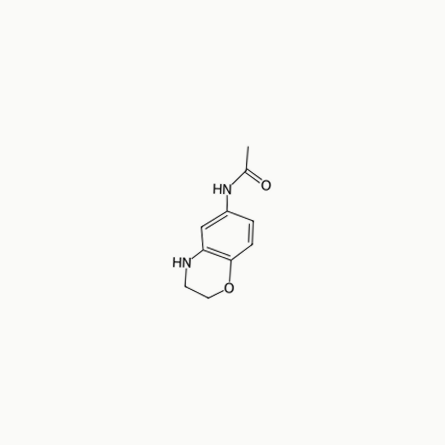 CC(=O)Nc1ccc2c(c1)NCCO2